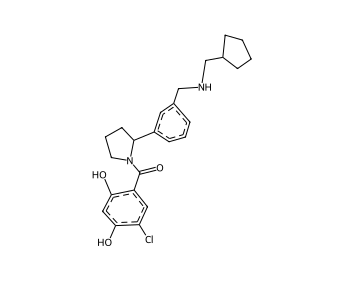 O=C(c1cc(Cl)c(O)cc1O)N1CCCC1c1cccc(CNCC2CCCC2)c1